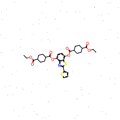 CCOC(=O)C1CCC(C(=O)Oc2ccc(OC(=O)C3CCC(C(=O)OCC)CC3)c3sc(-c4cccs4)nc23)CC1